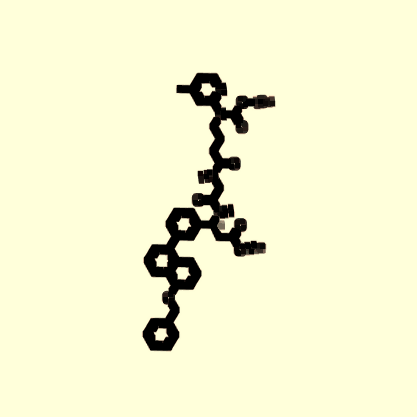 COC(=O)C[C@H](NC(=O)CNC(=O)CCCN(C(=O)OC(C)(C)C)c1cc(C)ccn1)c1cccc(-c2cccc3c(OCc4ccccc4)cccc23)c1